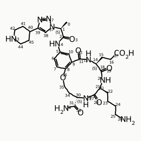 C[C@@H](C(=O)Nc1ccc2c(c1)C(=O)N[C@@H](CCC(=O)O)C(=O)N[C@@H](CCCCN)C(=O)N[C@H](C(N)=O)CCO2)n1cc(C2CCNCC2)nn1